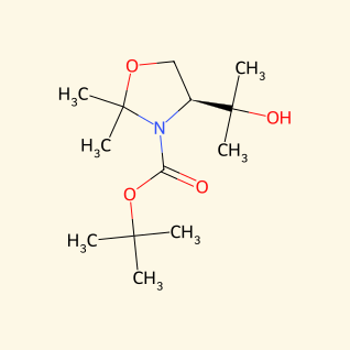 CC(C)(C)OC(=O)N1[C@H](C(C)(C)O)COC1(C)C